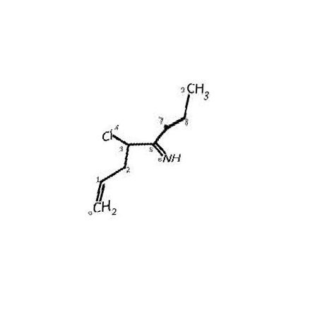 C=CCC(Cl)C(=N)CCC